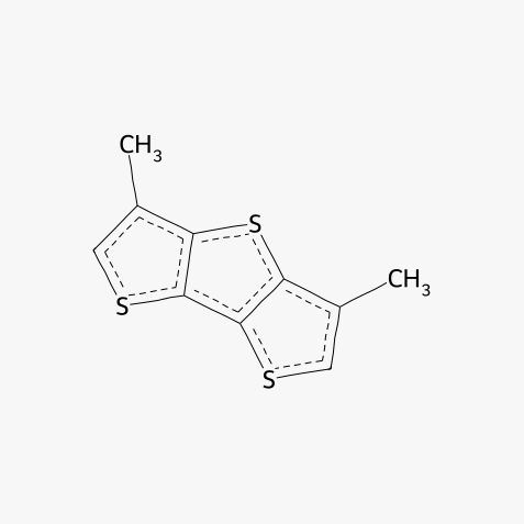 Cc1csc2c1sc1c(C)csc12